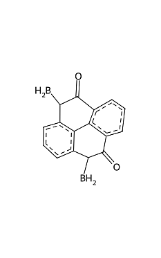 BC1C(=O)c2cccc3c2-c2c1cccc2C(B)C3=O